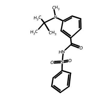 CN(c1cccc(C(=O)NS(=O)(=O)c2ccccc2)c1)C(C)(C)C